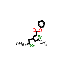 CCCCCCC(Br)CC(C=CC(=O)Oc1ccccc1)CC(C)Br